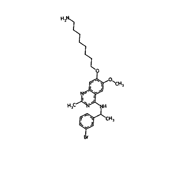 COc1cc2c(NC(C)c3cccc(Br)c3)nc(C)nc2cc1OCCCCCCCCN